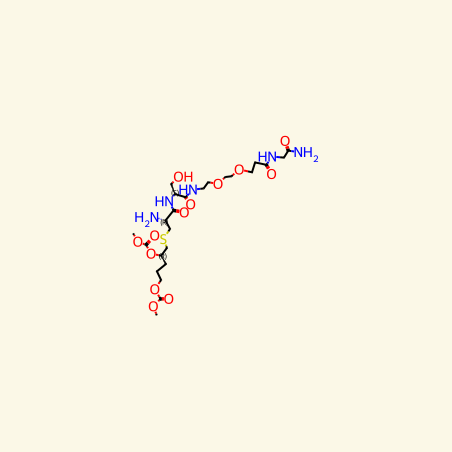 COC(=O)OCCC[C@H](CSC[C@H](N)C(=O)N[C@@H](CO)C(=O)NCCOCCOCCC(=O)NCC(N)=O)OC(=O)OC